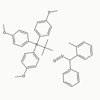 COc1ccc([B-](c2ccc(OC)cc2)(c2ccc(OC)cc2)C(C)(C)C)cc1.Cc1ccccc1C([S+]=O)c1ccccc1